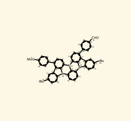 COc1ccc(-c2ccc3c4c2-c2cc(C(C)(C)C)ccc2B4c2cccc4c2N3c2ccc(-c3ccc(C=O)cc3)c3c2B4c2ccc(C(C)(C)C)cc2-3)cc1